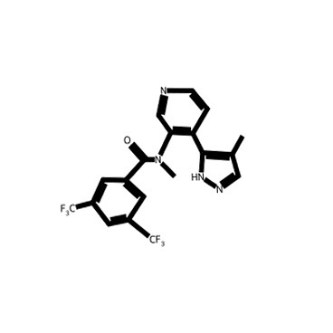 Cc1cn[nH]c1-c1ccncc1N(C)C(=O)c1cc(C(F)(F)F)cc(C(F)(F)F)c1